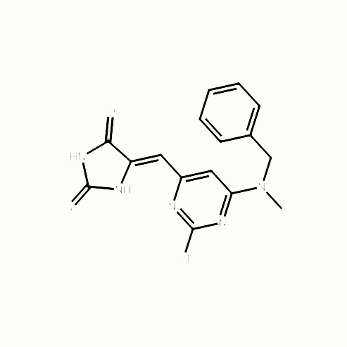 CN(Cc1ccccc1)c1cc(/C=C2\NC(=O)NC2=O)nc(Cl)n1